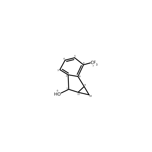 OC1c2cccc(C(F)(F)F)c2C2CC12